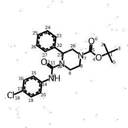 CC(C)(C)OC(=O)N1CCN(C(=O)Nc2ccc(Cl)cc2)C(c2ccccc2)C1